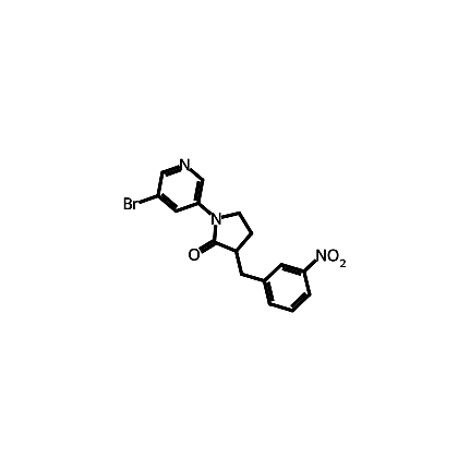 O=C1C(Cc2cccc([N+](=O)[O-])c2)CCN1c1cncc(Br)c1